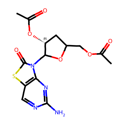 CC(=O)OCC1C[C@@H](OC(C)=O)C(n2c(=O)sc3cnc(N)nc32)O1